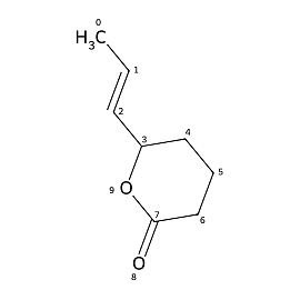 CC=CC1CCCC(=O)O1